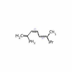 C=C(P)/C=C\C=C(/C)C(C)C